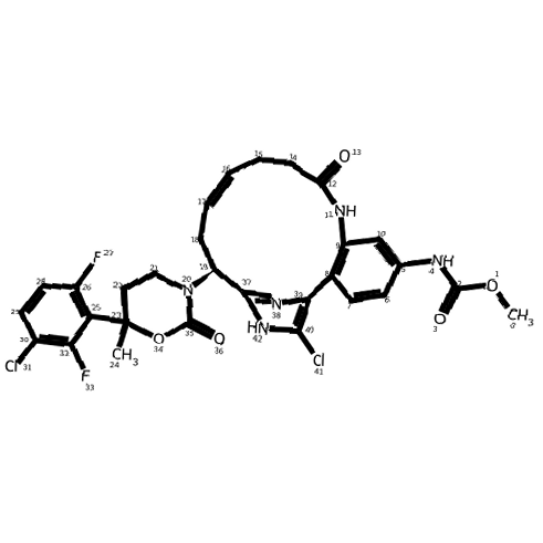 COC(=O)Nc1ccc2c(c1)NC(=O)CCC=CC[C@H](N1CCC(C)(c3c(F)ccc(Cl)c3F)OC1=O)c1nc-2c(Cl)[nH]1